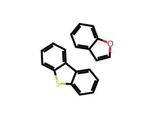 c1ccc2c(c1)sc1ccccc12.c1ccc2occc2c1